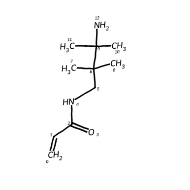 C=CC(=O)NCC(C)(C)C(C)(C)N